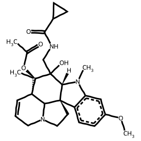 CC[C@]12C=CCN3CC[C@@]4(c5ccc(OC)cc5N(C)[C@H]4C(O)(CNC(=O)C4CC4)[C@@H]1OC(C)=O)C32